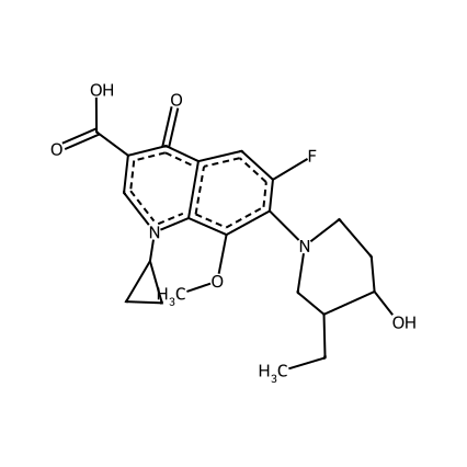 CCC1CN(c2c(F)cc3c(=O)c(C(=O)O)cn(C4CC4)c3c2OC)CCC1O